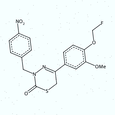 COc1cc(C2=NN(Cc3ccc([N+](=O)[O-])cc3)C(=O)SC2)ccc1OCF